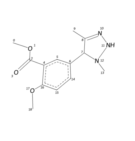 COC(=O)c1cc(C2C(C)=NNN2C)ccc1OC